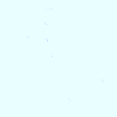 COc1cc2cccnc2c(N2CCN(C3CCC(c4cn(C)c5ccc(C#N)cc45)CC3)CC2)n1